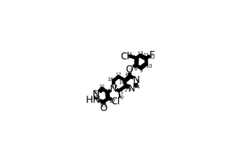 C[C@@H]1c2ncnc(Oc3ccc(F)cc3Cl)c2CCN1c1cn[nH]c(=O)c1Cl